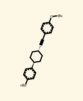 CCCCOc1ccc(C#C[C@H]2CC[C@H](c3ccc(CCCC)cc3)CC2)cc1